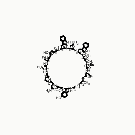 CCCC[C@H]1C(=O)N(C)[C@@H](CCCC)C(=O)N[C@@H](CC(C)C)C(=O)N[C@H](C)C(=O)NCC(=O)N[C@@H](Cc2ccc(O)cc2)C(=O)N(C)[C@@H](C)C(=O)N[C@@H](CC(N)=O)C(=O)N2CCC[C@H]2C(=O)N[C@@H](CN)C(=O)N[C@@H](CC(C)C)C(=O)C2N[C@@H](C[C@H]2O)C(=O)N[C@@H](Cc2c[nH]c3ccccc23)C(=O)N[C@@H](CCN)C(=O)N[C@@H](Cc2c[nH]c3ccccc23)C(=O)N1C